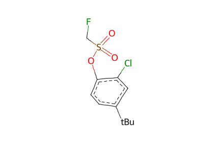 CC(C)(C)c1ccc(OS(=O)(=O)CF)c(Cl)c1